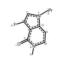 CC(C)n1cc(F)c2c(=O)n(C)ccc21